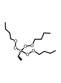 C=C[Si](OOCCCC)(OOCCCC)OOCCCC